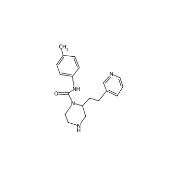 Cc1ccc(NC(=O)N2CCNCC2CCc2cccnc2)cc1